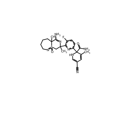 CC1=CC(C#N)=CNC1(C(N)=O)c1ccc(F)c(C2(C)CS3(=O)=NCCCCC3(C)C(N)=N2)n1